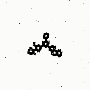 C=Cc1cc(-c2cc(-c3cnc4c(ccc5cccnc54)c3)nc(-c3ccccc3)n2)cnc1-c1ncccc1C